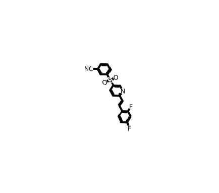 N#Cc1cccc(S(=O)(=O)c2ccc(C=Cc3ccc(F)cc3F)nc2)c1